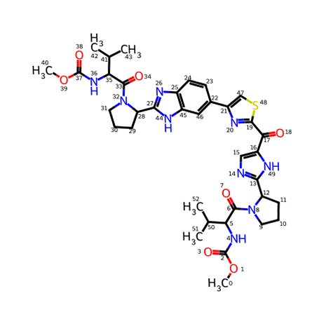 COC(=O)NC(C(=O)N1CCCC1c1ncc(C(=O)c2nc(-c3ccc4nc(C5CCCN5C(=O)C(NC(=O)OC)C(C)C)[nH]c4c3)cs2)[nH]1)C(C)C